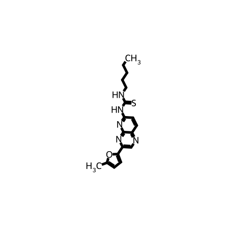 CCCCCNC(=S)Nc1ccc2ncc(-c3ccc(C)o3)nc2n1